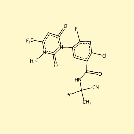 CC(C)C(C)(C#N)NC(=O)c1cc(-n2c(=O)cc(C(F)(F)F)n(C)c2=O)c(F)cc1Cl